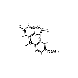 COc1ccc(N(C)c2nc(C)nc3oc(C)nc23)cc1